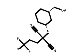 N#CC(C#N)(CCC(F)(F)F)C[C@@H]1CCC[C@H](CO)C1